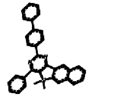 C[Si]1(C)c2cc3ccccc3cc2-c2nc(-c3ccc(-c4ccccc4)cc3)nc(-c3ccccc3)c21